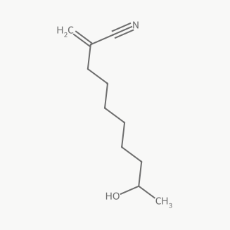 C=C(C#N)CCCCCCC(C)O